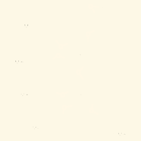 COCCOCC(COCCOC)(COCCOC)COCC(COCCOC)(COCCOC)COCC1CO1